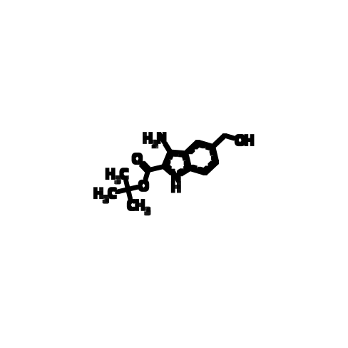 CC(C)(C)OC(=O)c1[nH]c2ccc(CO)cc2c1N